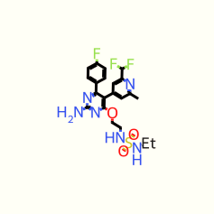 CCNS(=O)(=O)NCCOc1nc(N)nc(-c2ccc(F)cc2)c1-c1cc(C)nc(C(F)F)c1